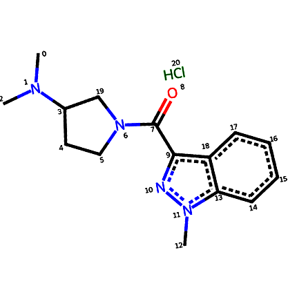 CN(C)C1CCN(C(=O)c2nn(C)c3ccccc23)C1.Cl